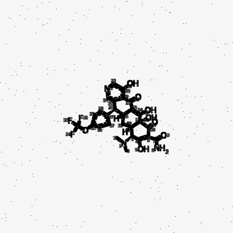 CN(C)[C@@H]1C(O)=C(C(N)=O)C(=O)[C@@]2(O)C(O)=C3C(=O)c4c(O)cncc4[C@H](c4ccc(OC(F)(F)F)cc4)[C@H]3C[C@@H]12